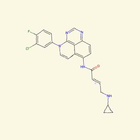 O=C(/C=C/CNC1CC1)Nc1ccc2ncnc3c2c1C=CN3c1ccc(F)c(Cl)c1